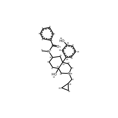 CN(C(=O)c1ccccc1)C1CCC2(O)CN(CC3CC3)CCC2(c2cccc(O)c2)C1